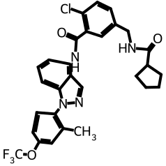 Cc1cc(OC(F)(F)F)ccc1-n1ncc2c(NC(=O)c3cc(CNC(=O)C4CCCC4)ccc3Cl)cccc21